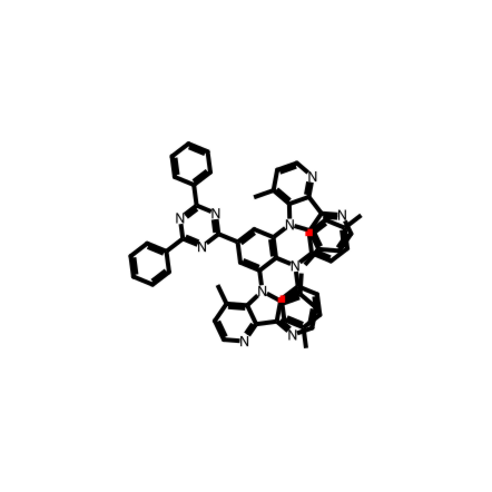 Cc1ccc(N(c2ccc(C)cc2)c2c(-n3c4c(C)ccnc4c4nccc(C)c43)cc(-c3nc(-c4ccccc4)nc(-c4ccccc4)n3)cc2-n2c3c(C)ccnc3c3nccc(C)c32)cc1